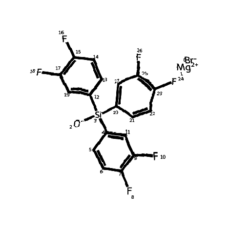 [Br-].[Mg+2].[O-][Si](c1ccc(F)c(F)c1)(c1ccc(F)c(F)c1)c1ccc(F)c(F)c1